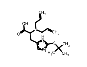 C=CCN(CC=C)[C@@H](Cc1cnc(SC(C)(C)C)[nH]1)C(=O)O